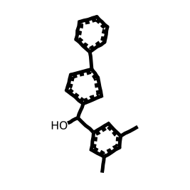 Cc1cc(C)cc(C(O)c2ccc(-c3ccccc3)cc2)c1